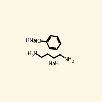 NCCCCN.Oc1ccccc1.[NaH].[NaH]